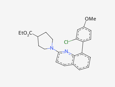 CCOC(=O)C1CCN(c2ccc3cccc(-c4ccc(OC)cc4Cl)c3n2)CC1